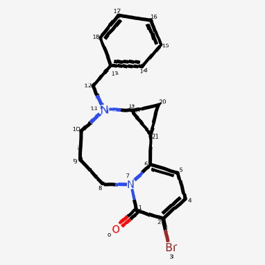 O=c1c(Br)ccc2n1CCCN(Cc1ccccc1)C1CC21